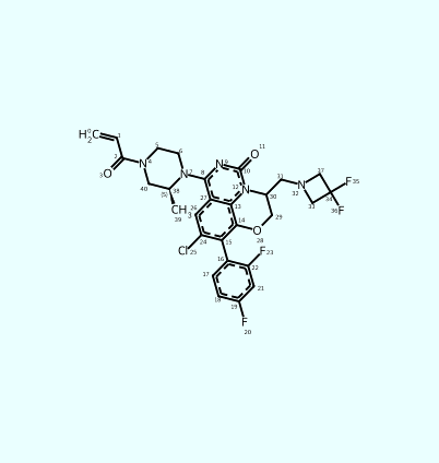 C=CC(=O)N1CCN(c2nc(=O)n3c4c(c(-c5ccc(F)cc5F)c(Cl)cc24)OCC3CN2CC(F)(F)C2)[C@@H](C)C1